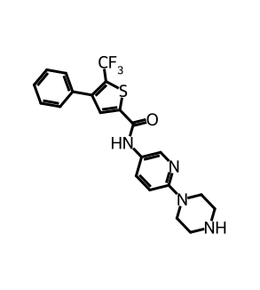 O=C(Nc1ccc(N2CCNCC2)nc1)c1cc(-c2ccccc2)c(C(F)(F)F)s1